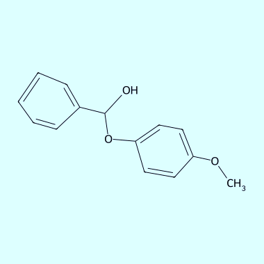 COc1ccc(OC(O)c2ccccc2)cc1